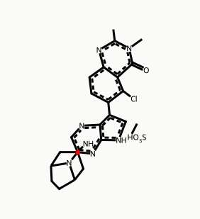 CS(=O)(=O)O.Cc1nc2ccc(-c3c[nH]c4nc(N5C6CCC5CC(N)C6)cnc34)c(Cl)c2c(=O)n1C